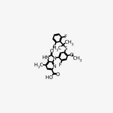 COc1cc(F)c(-n2c(=O)[nH]c3c(C)cc(C(=O)O)nc32)cc1SC(C)(C)c1c(F)cccc1F